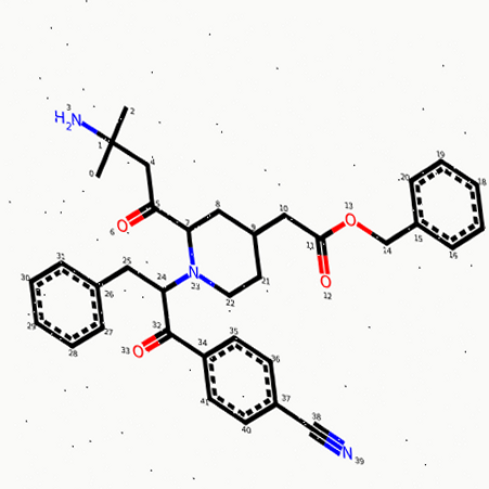 CC(C)(N)CC(=O)C1CC(CC(=O)OCc2ccccc2)CCN1C(Cc1ccccc1)C(=O)c1ccc(C#N)cc1